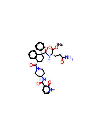 Cn1cccc(C(=O)NC2CCN(C(=O)[C@H]3CC[C@@](C(=O)N[C@@H](CCC(N)=O)C(=O)OC(C)(C)C)(c4ccccc4)c4ccccc43)CC2)c1=O